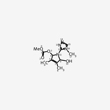 COC(=O)OC1C(C)=C(C)C(O)N1c1nncn1C